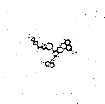 CCc1c(F)ccc2cc(O)cc(N3CCc4c(nc(OC[C@@]56CCCN5C[C@H](F)C6)nc4N4CCCn5nc(C(=O)N6CC7(CNC7)C6)cc5C4)C3)c12